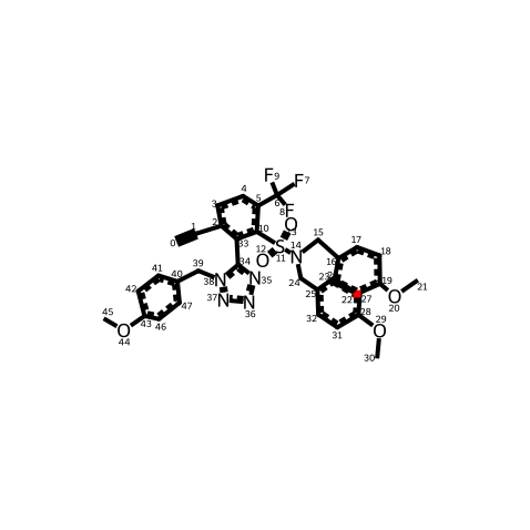 C#Cc1ccc(C(F)(F)F)c(S(=O)(=O)N(Cc2ccc(OC)cc2)Cc2ccc(OC)cc2)c1-c1nnnn1Cc1ccc(OC)cc1